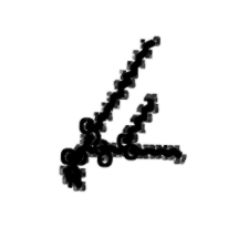 CCCCCC=CCC=CCCCCCCCC(=O)OCC(COC(=O)CCC(OCCCCCCCC)OCCCCCCCC)COC(=O)C1CCN(C)C1